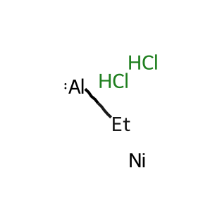 C[CH2][Al].Cl.Cl.[Ni]